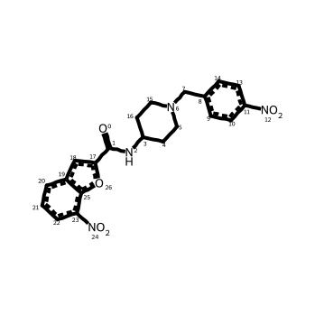 O=C(NC1CCN(Cc2ccc([N+](=O)[O-])cc2)CC1)c1cc2cccc([N+](=O)[O-])c2o1